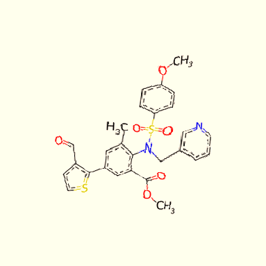 COC(=O)c1cc(-c2sccc2C=O)cc(C)c1N(Cc1cccnc1)S(=O)(=O)c1ccc(OC)cc1